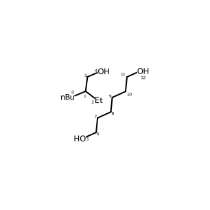 CCCCC(CC)CO.OCCCCCCO